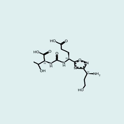 CC(O)[C@H](NC(=O)N[C@@H](CCC(=O)O)c1nc([C@@H](N)CCO)no1)C(=O)O